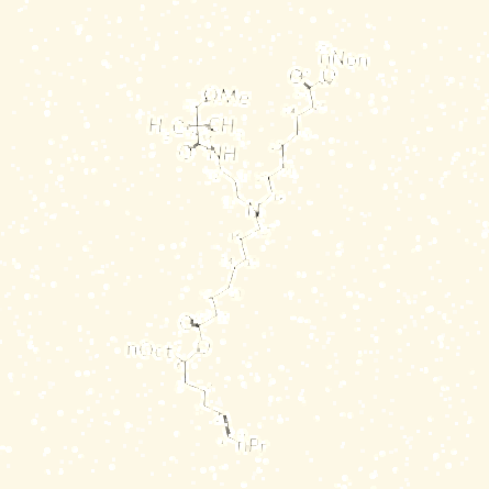 CCC/C=C/CCCC(CCCCCCCC)OC(=O)CCCCCCCN(CCCCCCCC(=O)OCCCCCCCCC)CCCNC(=O)C(C)(C)COC